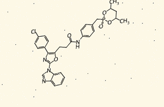 CC1CC(C)OP(=O)(Cc2ccc(NC(=O)CCc3oc(-n4cnc5ccccc54)nc3-c3ccc(Cl)cc3)cc2)O1